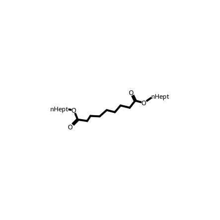 CCCCCCCOC(=O)CCCCCCCC(=O)OCCCCCCC